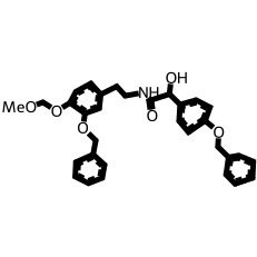 COCOc1ccc(CCNC(=O)C(O)c2ccc(OCc3ccccc3)cc2)cc1OCc1ccccc1